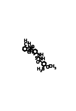 Bc1cc(C(=O)NC(=S)Nc2ccc(S(=O)(=O)Nc3c(C)cccc3C)cc2)ccc1OC